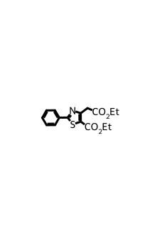 CCOC(=O)Cc1nc(-c2ccccc2)sc1C(=O)OCC